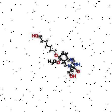 COc1c(OCCCCCCCO)ccc2c1CN1C(=N2)NC(=O)C1CO